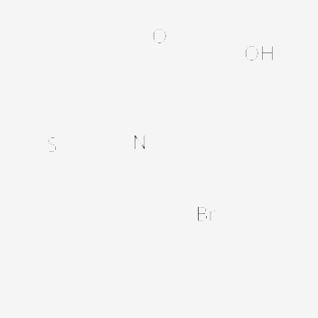 O=C(O)C[n+]1csc2ccccc21.[Br-]